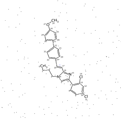 CCCCn1cc(-c2ccc(Cl)cc2Cl)nc1/C=C/c1ccc(-c2ccc(OC)cc2)cc1